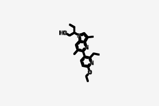 CCOc1ccc(-c2nc3c(C)cn(C(CC)CO)c3cc2C)c(CC)n1